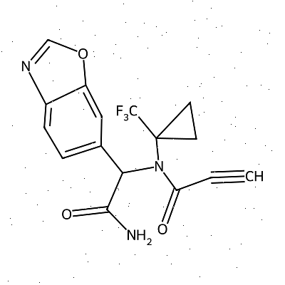 C#CC(=O)N(C(C(N)=O)c1ccc2ncoc2c1)C1(C(F)(F)F)CC1